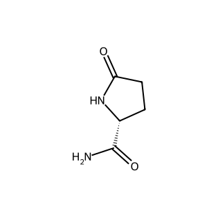 NC(=O)[C@H]1CCC(=O)N1